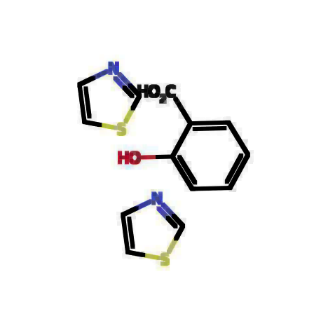 O=C(O)c1ccccc1O.c1cscn1.c1cscn1